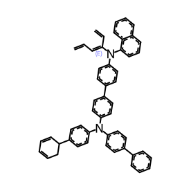 C=C/C=C(\C=C)N(c1ccc(-c2ccc(N(c3ccc(-c4ccccc4)cc3)c3ccc(C4C=CC=CC4)cc3)cc2)cc1)c1cccc2ccccc12